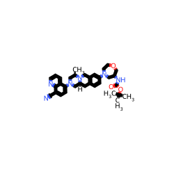 C[C@@H]1CN(c2ccc(C#N)c3ncccc23)C[C@@H]2Cc3ccc(N4CCOCC(NC(=O)OC(C)(C)C)C4)cc3CN21